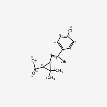 CC1(C)C(C=C(Br)c2ccc(Cl)cc2)C1C(=O)O